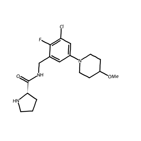 COC1CCN(c2cc(Cl)c(F)c(CNC(=O)[C@@H]3CCCN3)c2)CC1